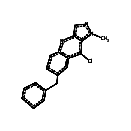 Cn1ncc2nc3ccc(Cc4ccccc4)cc3c(Cl)c21